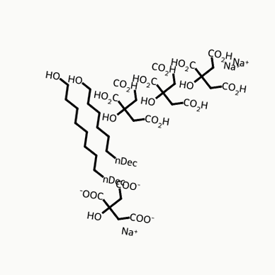 CCCCCCCCCCCCCCCCCCO.CCCCCCCCCCCCCCCCO.O=C(O)CC(O)(CC(=O)O)C(=O)O.O=C(O)CC(O)(CC(=O)O)C(=O)O.O=C(O)CC(O)(CC(=O)O)C(=O)O.O=C([O-])CC(O)(CC(=O)[O-])C(=O)[O-].[Na+].[Na+].[Na+]